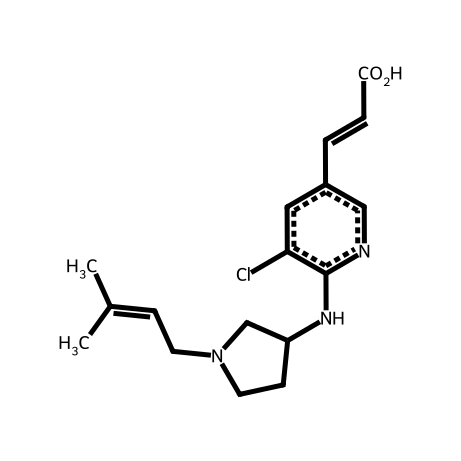 CC(C)=CCN1CCC(Nc2ncc(/C=C/C(=O)O)cc2Cl)C1